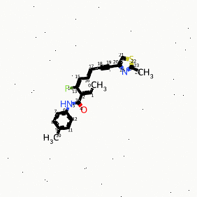 C\C=C(C(=O)Nc1ccc(C)cc1)/C(F)=C\C=C\C#Cc1csc(C)n1